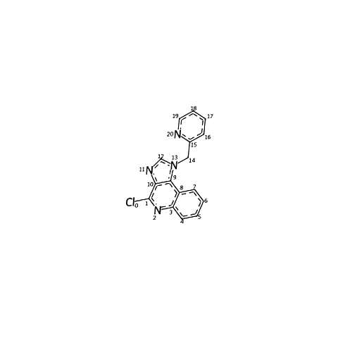 Clc1nc2ccccc2c2c1ncn2Cc1ccccn1